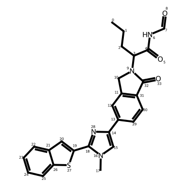 CCCC(C(=O)NC=O)N1Cc2cc(-c3cn(C)c(-c4cc5ccccc5s4)n3)ccc2C1=O